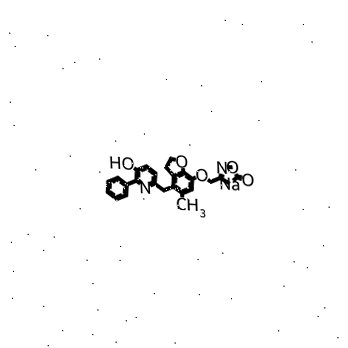 Cc1cc(OC[C]2=NO[C](=O)[Na]2)c2c(c1Cc1ccc(O)c(-c3ccccc3)n1)CCO2